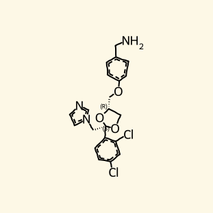 NCc1ccc(OC[C@@H]2CO[C@@](Cn3ccnc3)(c3ccc(Cl)cc3Cl)O2)cc1